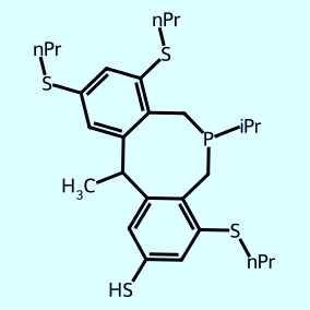 CCCSc1cc(SCCC)c2c(c1)C(C)c1cc(S)cc(SCCC)c1CP(C(C)C)C2